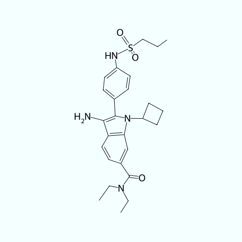 CCCS(=O)(=O)Nc1ccc(-c2c(N)c3ccc(C(=O)N(CC)CC)cc3n2C2CCC2)cc1